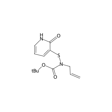 C=CCN(Sc1ccc[nH]c1=O)C(=O)OC(C)(C)C